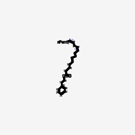 CCCCC/C=C\C/C=C\CCCCCCCC(=O)OCCc1ccccc1